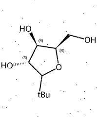 CC(C)(C)C1O[C@H](CO)[C@H](O)[C@H]1O